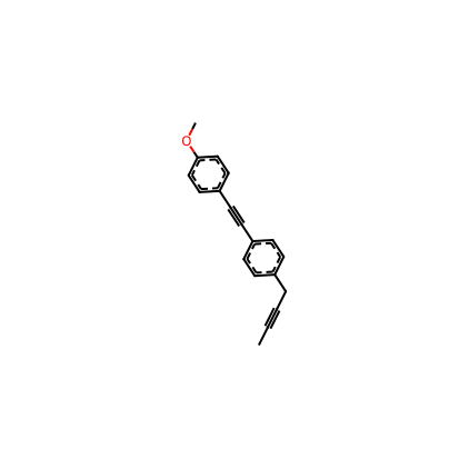 CC#CCc1ccc(C#Cc2ccc(OC)cc2)cc1